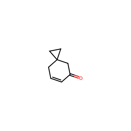 O=C1C=CCC2(CC2)C1